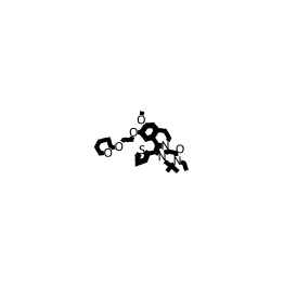 CCN(C(=O)c1nc(-c2cccs2)c2n1CCc1cc(OC)c(OCCOC3CCCCO3)cc1-2)C(C)(C)C